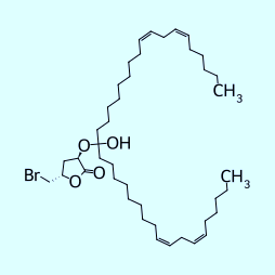 CCCCC/C=C\C/C=C\CCCCCCCCC(O)(CCCCCCCC/C=C\C/C=C\CCCCC)O[C@@H]1C[C@@H](CBr)OC1=O